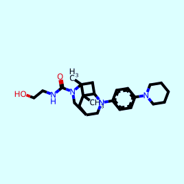 CC12CC3CN(c4ccc(N5CCCCC5)cc4)C1CC2(C)N(C(=O)NCCO)C3